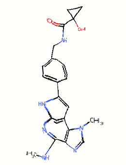 CNc1nc2[nH]c(-c3ccc(CNC(=O)C4(O)CC4)cc3)cc2c2c1ncn2C